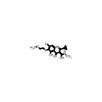 CN/C(O)=C(\C(=N)C1CC1)C(=O)c1ccc(Cl)c(SCCOC)c1C